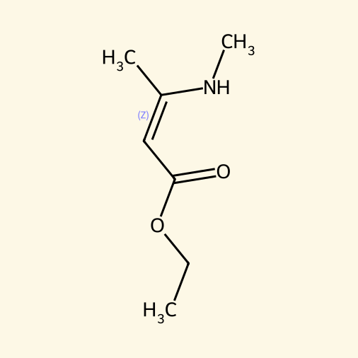 CCOC(=O)/C=C(/C)NC